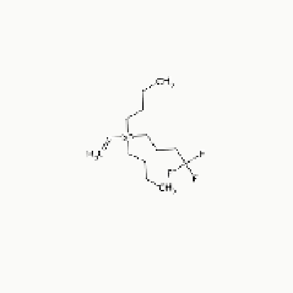 C=[CH][Sn]([CH2]CCC)([CH2]CCC)[CH2]CCC(F)(F)F